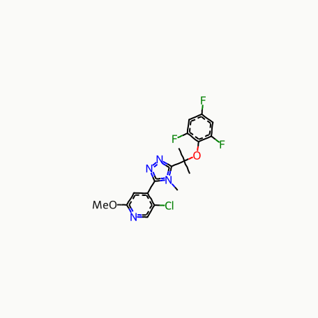 COc1cc(-c2nnc(C(C)(C)Oc3c(F)cc(F)cc3F)n2C)c(Cl)cn1